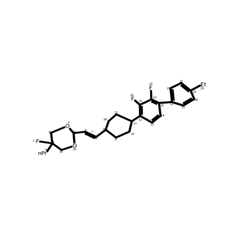 CCCC1(F)COC(/C=C/C2CCC(c3ccc(-c4ccc(CC)cc4)c(F)c3F)CC2)OC1